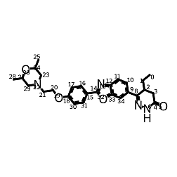 CCC1CC(=O)NN=C1c1ccc2nc(-c3ccc(OCCN4CC(C)OC(C)C4)cc3)oc2c1